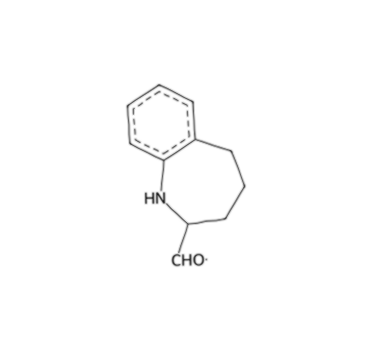 O=[C]C1CCCc2ccccc2N1